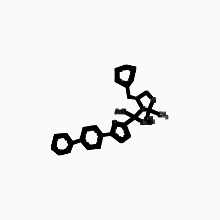 CC(=O)OC(C=O)(c1ccc(-c2ccc(-c3ccccc3)cc2)o1)N1[C@@H](Cc2ccccc2)COC1(C)C